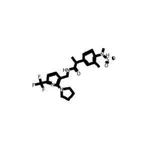 Cc1cc(C(C)C(=O)NCc2ccc(C(F)(F)F)nc2N2CCCC2)ccc1N(C)[SH](=O)=O